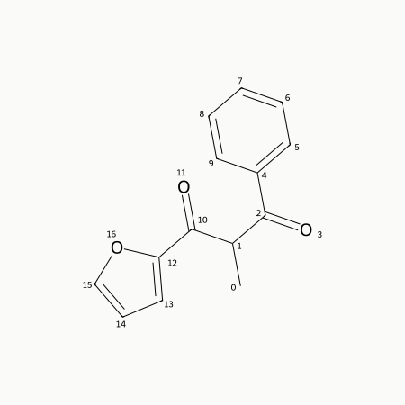 CC(C(=O)c1ccccc1)C(=O)c1ccco1